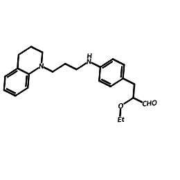 CCOC(C=O)Cc1ccc(NCCCN2CCCc3ccccc32)cc1